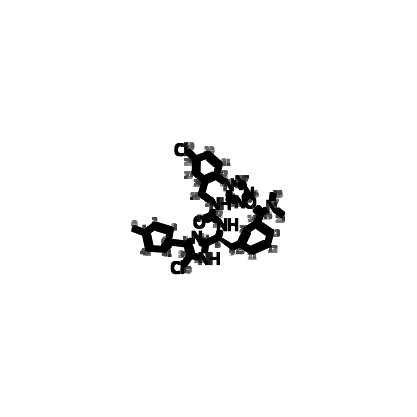 Cc1ccc(-c2nc([C@H](Cc3cccc(C(=O)N(C)C)c3)NC(=O)NCc3cc(Cl)ccc3-n3cnnn3)[nH]c2Cl)cc1